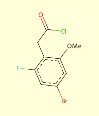 COc1cc(Br)cc(F)c1CC(=O)Cl